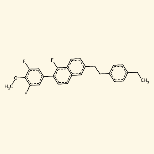 CCc1ccc(CCc2ccc3c(F)c(-c4cc(F)c(OC)c(F)c4)ccc3c2)cc1